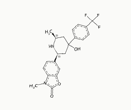 C[C@H]1CC(O)(c2ccc(C(F)(F)F)cc2)C[C@@H](c2ccc3c(c2)oc(=O)n3C)N1